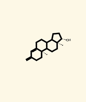 C=C1C=C2CCC3C(CC[C@@]4(C)C3CC[C@@H]4O)[C@@]2(C)CC1